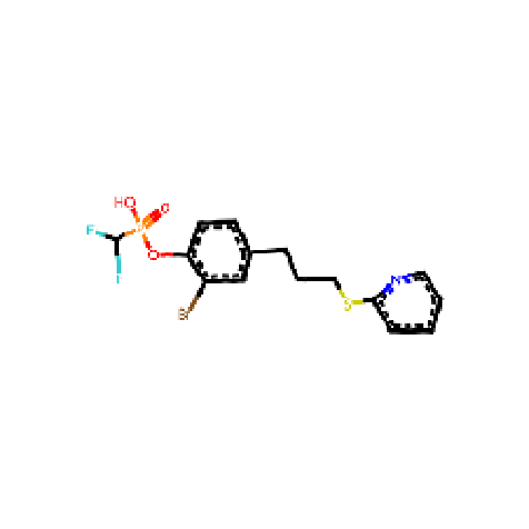 O=P(O)(Oc1ccc(CCCSc2ccccn2)cc1Br)C(F)F